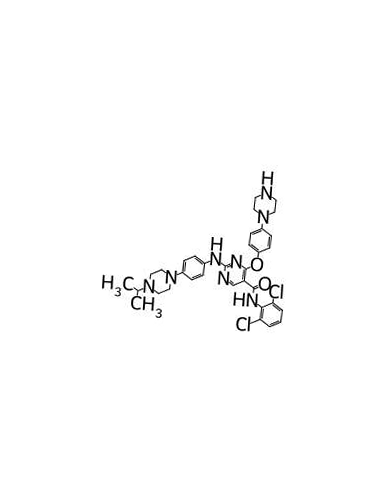 CC(C)N1CCN(c2ccc(Nc3ncc(C(=O)Nc4c(Cl)cccc4Cl)c(Oc4ccc(N5CCNCC5)cc4)n3)cc2)CC1